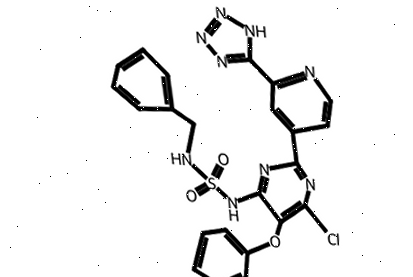 COc1ccccc1Oc1c(Cl)nc(-c2ccnc(-c3nnn[nH]3)c2)nc1NS(=O)(=O)NCc1ccccc1